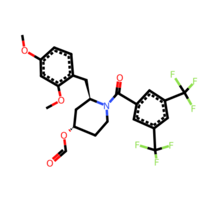 COc1ccc(C[C@@H]2C[C@@H](OC=O)CCN2C(=O)c2cc(C(F)(F)F)cc(C(F)(F)F)c2)c(OC)c1